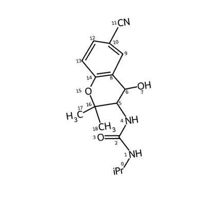 CC(C)NC(=O)NC1C(O)c2cc(C#N)ccc2OC1(C)C